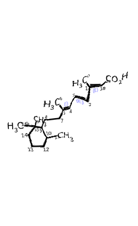 CC(/C=C/C=C(\C)CCC1C(C)CCCC1(C)C)=C\C(=O)O